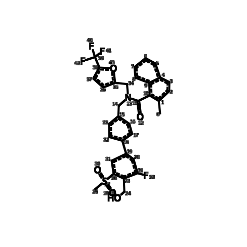 Cc1ccc2ccccc2c1C(=O)N(Cc1ccc(-c2cc(F)c(CO)c(S(C)(=O)=O)c2)cc1)Cc1ccc(C(F)(F)F)o1